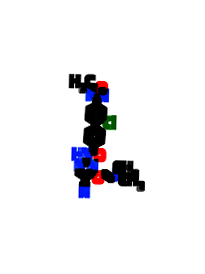 Cc1nc(-c2ccc(-c3ccc(C(=O)Nc4ncc(C#N)c(OCCN(C)C)n4)cc3)c(Cl)c2)no1